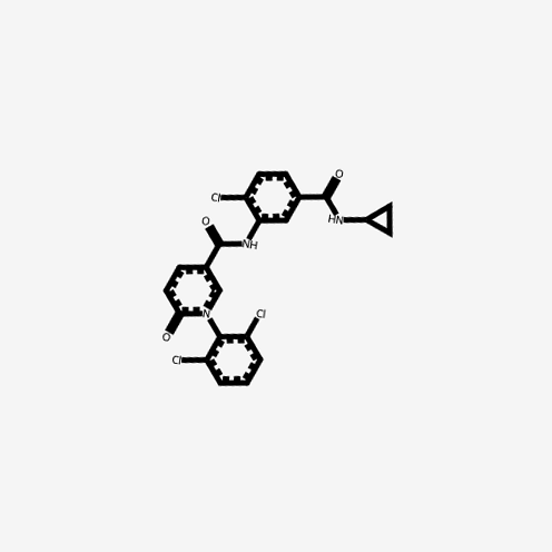 O=C(Nc1cc(C(=O)NC2CC2)ccc1Cl)c1ccc(=O)n(-c2c(Cl)cccc2Cl)c1